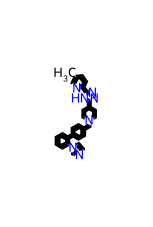 Cc1ccc(-c2nnc(C3CCN(Cc4ccc(-c5ccccc5-n5ccnc5)cc4)CC3)[nH]2)nc1